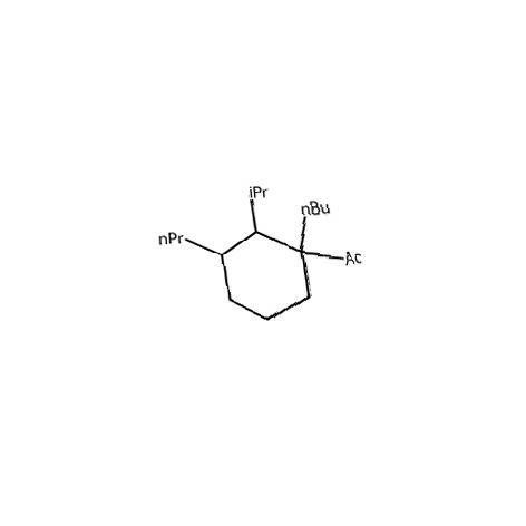 CCCCC1(C(C)=O)CCCC(CCC)C1C(C)C